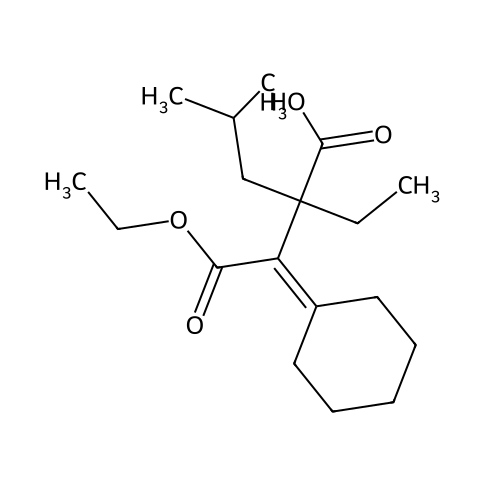 CCOC(=O)C(=C1CCCCC1)C(CC)(CC(C)C)C(=O)O